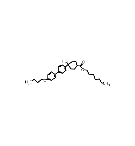 CCCCCCCOC(=O)C1CCC(O)(c2ccc(-c3ccc(OCCCC)cc3)cc2)CC1